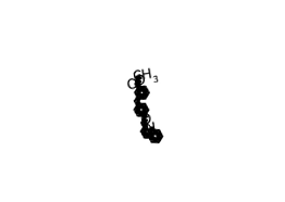 COC(=O)c1cccc(Cc2ccc(OCc3ccc4ccccc4n3)cc2)c1